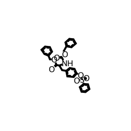 O=C(NC(Cc1ccc(OS(=O)(=O)c2ccccc2)cc1)C(=O)OCc1ccccc1)OCc1ccccc1